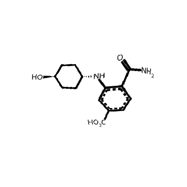 NC(=O)c1ccc(C(=O)O)cc1N[C@H]1CC[C@H](O)CC1